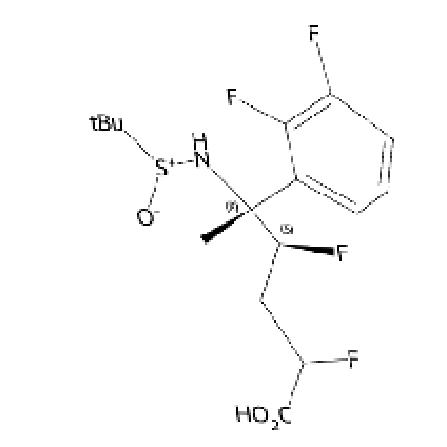 CC(C)(C)[S+]([O-])N[C@](C)(c1cccc(F)c1F)[C@@H](F)CC(F)C(=O)O